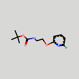 CC(C)(C)OC(=O)NCCOc1cccc(Br)n1